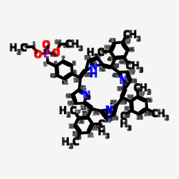 CCOP(=O)(Cc1ccc(-c2c3nc(c(-c4c(C)cc(C)cc4C)c4ccc([nH]4)c(-c4c(C)cc(C)cc4C)c4nc(c(-c5c(C)cc(C)cc5C)c5ccc2[nH]5)C=C4)C=C3)cc1)OCC